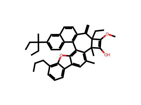 C=C1c2ccc3cc(C(C)(CC)CC)ccc3c2-c2c(c(C)cc3c2oc2c(CCC)cccc23)C2(C)C(O)=C(OC)C12CC